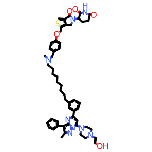 Cc1nn2c(N3CCN(CCO)CC3)cc(-c3cccc(CCCCCCCCCN(C)Cc4ccc(OCc5scc6c5CN(C5CCC(=O)NC5=O)C6=O)cc4)c3)nc2c1-c1ccccc1